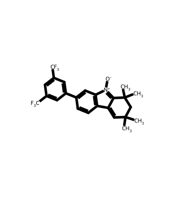 CC1(C)C=C2C(=[N+]([O-])c3cc(-c4cc(C(F)(F)F)cc(C(F)(F)F)c4)ccc32)C(C)(C)C1